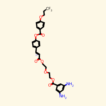 Nc1cc(N)cc(C(=O)OCCOCCOC(=O)/C=C/c2ccc(OC(=O)c3ccc(OCCC(F)(F)F)cc3)cc2)c1